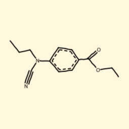 CCCN(C#N)c1ccc(C(=O)OCC)cc1